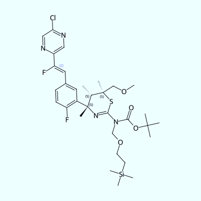 COC[C@@]1(C)SC(N(COCC[Si](C)(C)C)C(=O)OC(C)(C)C)=N[C@](C)(c2cc(/C=C(\F)c3cnc(Cl)cn3)ccc2F)[C@@H]1C